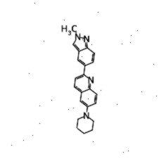 Cn1cc2cc(-c3ccc4cc(N5CCCCC5)ccc4n3)ccc2n1